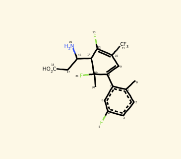 Cc1ccc(F)cc1C1=CC(C(F)(F)F)=C(F)C(C(N)CC(=O)O)C1(C)F